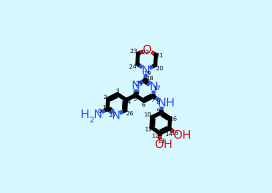 Nc1ccc(-c2cc(Nc3ccc(O)c(O)c3)nc(N3CCOCC3)n2)cn1